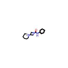 O=C(Nc1ccccc1)N1CC(N2CCCCCC2)C1